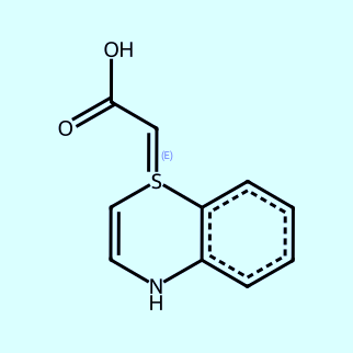 O=C(O)/C=S1\C=CNc2ccccc21